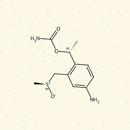 C[C@@H](OC(N)=O)c1ccc(N)cc1C[S@+](C)[O-]